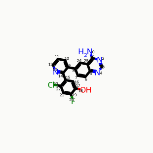 Nc1ncnc2ccc(-c3cccnc3-c3cc(O)c(F)cc3Cl)cc12